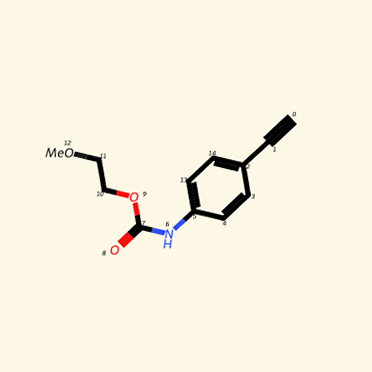 C#Cc1ccc(NC(=O)OCCOC)cc1